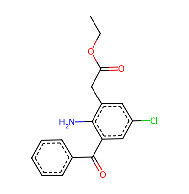 CCOC(=O)Cc1cc(Cl)cc(C(=O)c2ccccc2)c1N